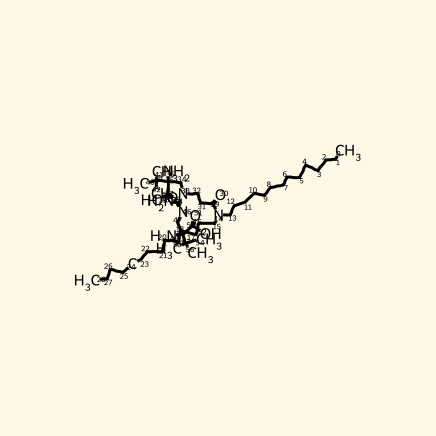 CCCCCCCCCCCCCCN(CCCCCCCCCCCCCC)C(=O)CCN(CC(N)(C(=O)O)C(C)(C)C)C(N)=NCC(N)(C(=O)O)C(C)(C)C